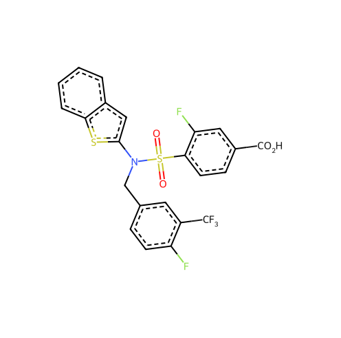 O=C(O)c1ccc(S(=O)(=O)N(Cc2ccc(F)c(C(F)(F)F)c2)c2cc3ccccc3s2)c(F)c1